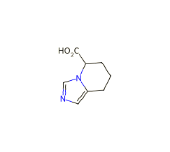 O=C(O)C1CCCc2cncn21